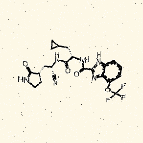 N#C[C@H](C[C@@H]1CCNC1=O)NC(=O)[C@H](CC1CC1)NC(=O)c1nc2c(OC(F)(F)F)cccc2[nH]1